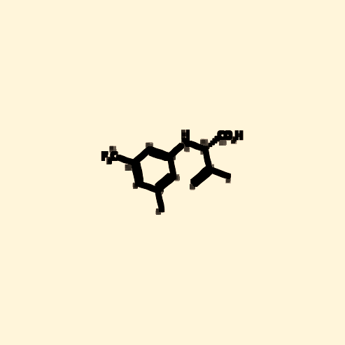 C=C(C)[C@H](Nc1cc(C)cc(C(F)(F)F)c1)C(=O)O